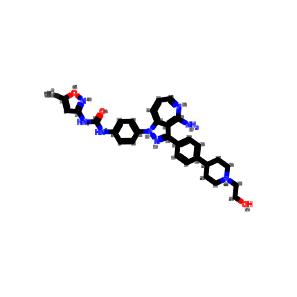 CC(C)(C)c1cc(NC(=O)Nc2ccc(-n3nc(-c4ccc(C5CCN(CCO)CC5)cc4)c4c3=C=CC=NC=4N)cc2)no1